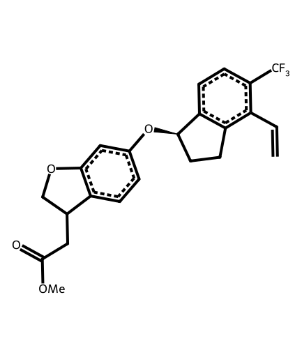 C=Cc1c(C(F)(F)F)ccc2c1CC[C@H]2Oc1ccc2c(c1)OCC2CC(=O)OC